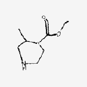 COC(=O)N1CCNCC1C